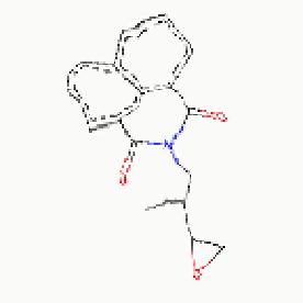 CC(CN1C(=O)c2cccc3cccc(c23)C1=O)C1CO1